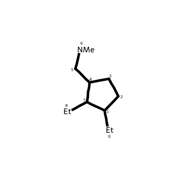 CCC1CCC(CNC)C1CC